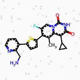 Cc1c(-c2ccc(-c3cccnc3CN)s2)c(F)cn2c(=O)[nH]c(=O)c(C3CC3)c12